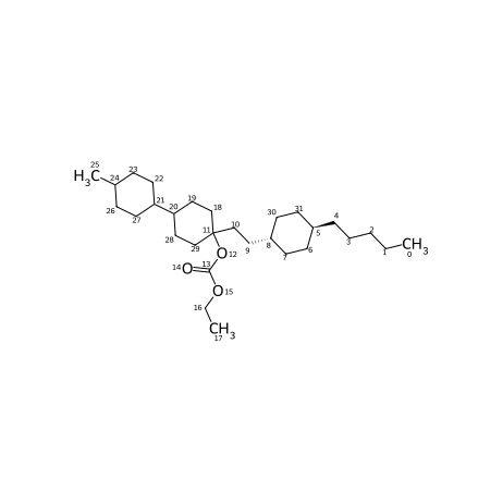 CCCCC[C@H]1CC[C@H](CCC2(OC(=O)OCC)CCC(C3CCC(C)CC3)CC2)CC1